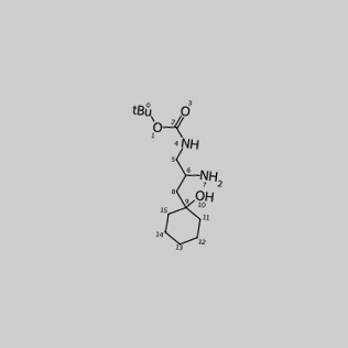 CC(C)(C)OC(=O)NCC(N)CC1(O)CCCCC1